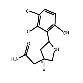 C[C@@]1(CC(N)=O)CNC(c2c(O)ccc(Cl)c2Cl)C1